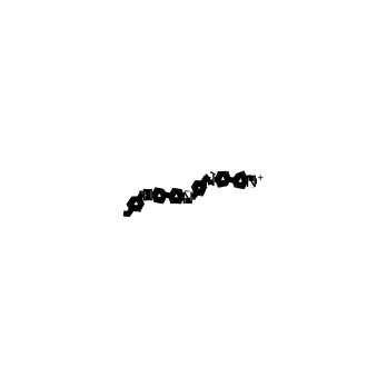 CCc1ccc(C[N+](C)(C)c2ccc(-c3ccc([N+](C)(C)Cc4ccc(C[N+](C)(C)c5ccc(-c6ccc([N+](C)(C)C)cc6)cc5)cc4)cc3)cc2)cc1